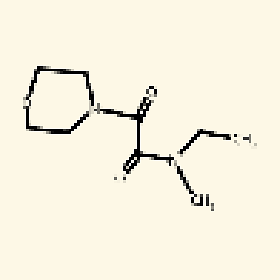 CCN(C)C(=O)C(=O)N1CCOCC1